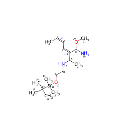 C/C=C\C=C(\C(C)NCCO[Si](C)(C)C(C)(C)C)C(N)OC